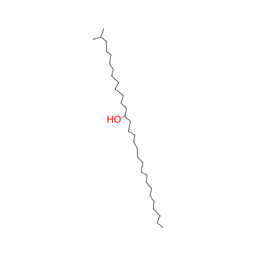 CCCCCCCCCCCCCCCCCC(O)CCCCCCCCCCCC(C)C